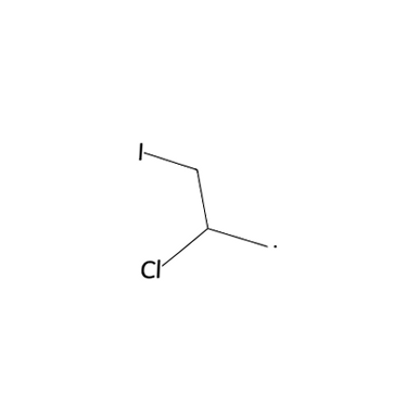 [CH2]C(Cl)CI